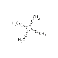 C=C=C1C(=C=C)C(=C=C)C1=C=C